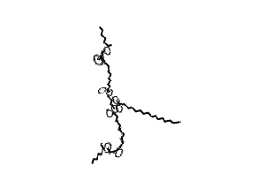 CCCCCCCCCCCCCCCC(=O)OC(COC(=O)CCCCCCCC1OC1COC(C)CCCCC)COC(=O)CCCCCCCC1OC1COC(C)CCCCC